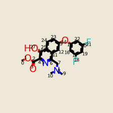 COC(=O)c1nc(CN(C)C)c2cc(Oc3cc(F)cc(F)c3)ccc2c1O